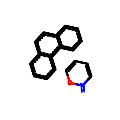 C1=CNOC=C1.c1ccc2c(c1)ccc1ccccc12